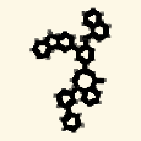 C=C1/C=C(c2ccc(Nc3cccc4ccccc34)c(-c3ccc4sc5ccccc5c4c3)c2)\C=C/N(c2cccc(-c3ccccc3)c2)c2ccccc21